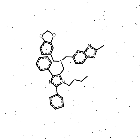 CCCCn1c(-c2ccccc2)nc(-c2ccccc2)c1CN(Cc1ccc2c(c1)OCO2)Cc1ccc2sc(C)nc2c1